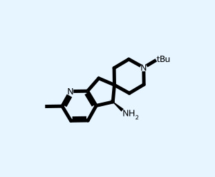 Cc1ccc2c(n1)CC1(CCN(C(C)(C)C)CC1)[C@H]2N